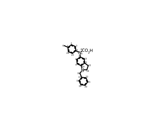 Cc1ccc(N(C(=O)O)c2ccc3c(c2)CCN3Cc2ccccc2)cc1